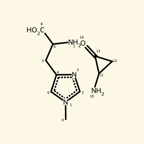 Cn1cnc(CC(N)C(=O)O)c1.NC1CC1=O